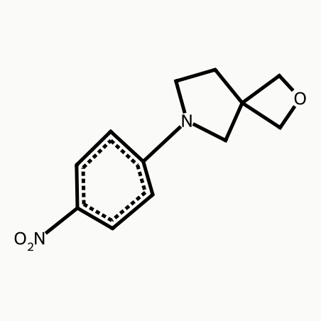 O=[N+]([O-])c1ccc(N2CCC3(COC3)C2)cc1